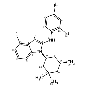 CCc1ccc(Nc2nc3c(F)cccc3n2[C@H]2C[C@@H](C)CC(C)(C)C2)c(CC)c1